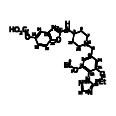 CCOc1cc(CN2CCC(Nc3nc4cc(OC(=O)O)ccc4o3)CC2)cc(OCC)c1-n1cncn1